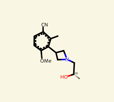 COc1ccc(C#N)c(C)c1C1CN(C[C@H](C)O)C1